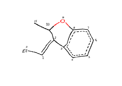 CC/C=C1/c2ccccc2OC1C